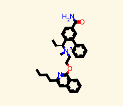 CCCCc1cc2ccccc2c(OCC[N+](C)(C)[C@@H](CC)c2ccc(C(N)=O)cc2-c2ccccc2)n1